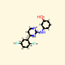 Oc1cccc(Nc2nccc(-c3cc(F)ccc3F)n2)c1